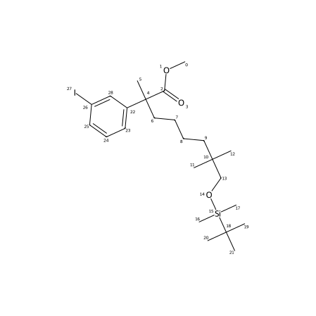 COC(=O)C(C)(CCCCC(C)(C)CO[Si](C)(C)C(C)(C)C)c1cccc(I)c1